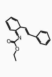 CCOC(=O)N=C1C=CC=CC1C=Cc1ccccc1